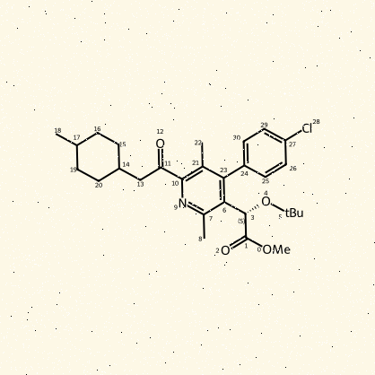 COC(=O)[C@@H](OC(C)(C)C)c1c(C)nc(C(=O)CC2CCC(C)CC2)c(C)c1-c1ccc(Cl)cc1